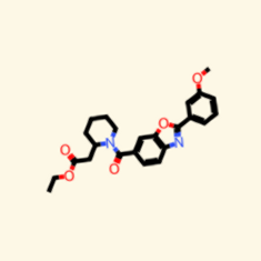 CCOC(=O)CC1CCCCN1C(=O)c1ccc2nc(-c3cccc(OC)c3)oc2c1